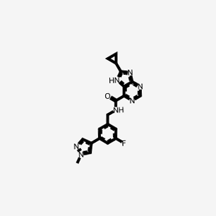 Cn1cc(-c2cc(F)cc(CNC(=O)c3ncnc4nc(C5CC5)[nH]c34)c2)cn1